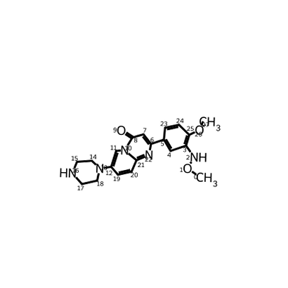 CONc1cc(-c2cc(=O)n3cc(N4CCNCC4)ccc3n2)ccc1OC